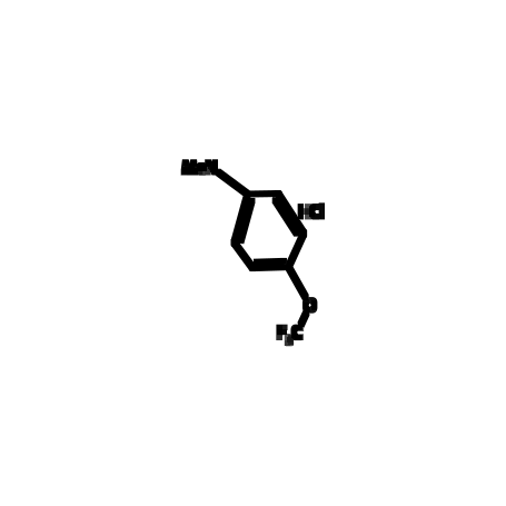 CNc1ccc(OC(F)(F)F)cc1.Cl